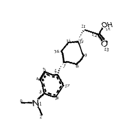 CN(C)c1ccc([C@H]2CC[C@@H](CC(=O)O)CC2)cc1